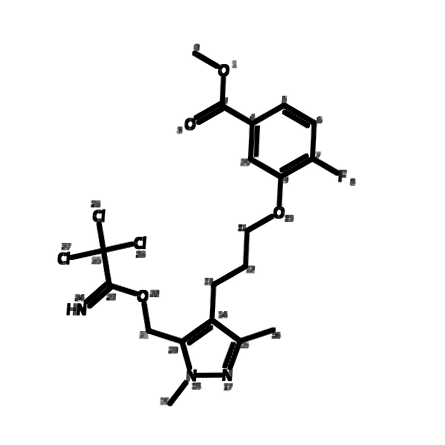 COC(=O)c1ccc(F)c(OCCCc2c(C)nn(C)c2COC(=N)C(Cl)(Cl)Cl)c1